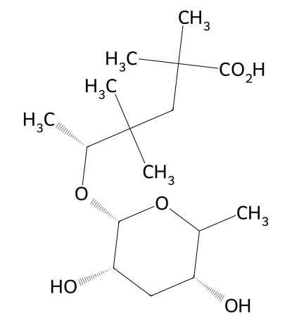 CC1O[C@@H](O[C@H](C)C(C)(C)CC(C)(C)C(=O)O)[C@@H](O)C[C@H]1O